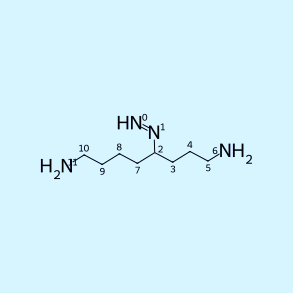 N=NC(CCCN)CCCCN